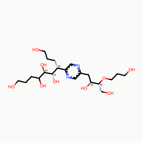 OCCCO[C@H](CO)[C@@H](O)Cc1cnc([C@@H](CCCO)[C@H](O)[C@H](O)C(O)CCCO)cn1